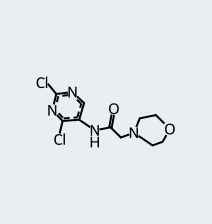 O=C(CN1CCOCC1)Nc1cnc(Cl)nc1Cl